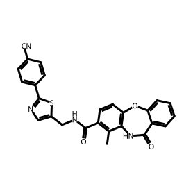 Cc1c(C(=O)NCc2cnc(-c3ccc(C#N)cc3)s2)ccc2c1NC(=O)c1ccccc1O2